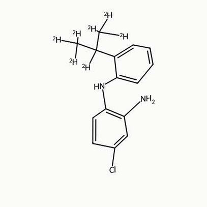 [2H]C([2H])([2H])C([2H])(c1ccccc1Nc1ccc(Cl)cc1N)C([2H])([2H])[2H]